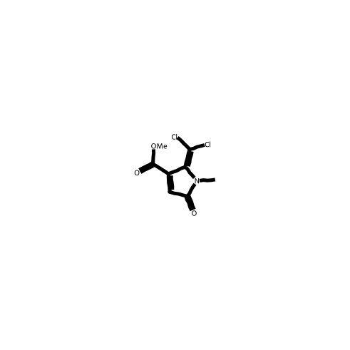 COC(=O)C1=CC(=O)N(C)C1=C(Cl)Cl